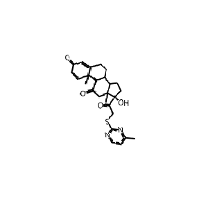 Cc1ccnc(SCC(=O)[C@@]2(O)CCC3C4CCC5=CC(=O)C=CC5(C)C4C(=O)CC32C)n1